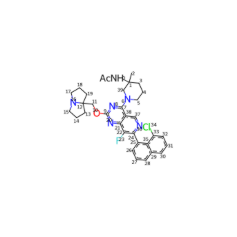 CC(=O)NC1(C)CCCN(c2nc(OCC34CCCN3CCC4)nc3c(F)c(-c4cccc5cccc(Cl)c45)ncc23)C1